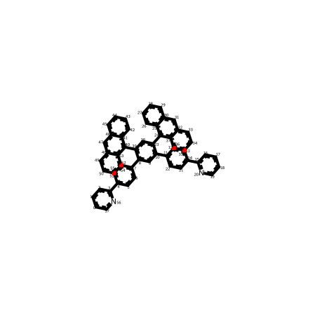 c1ccc(-c2ccc(-c3cc(-c4ccc(-c5ccccn5)cc4)c(-c4c5ccccc5cc5ccccc45)cc3-c3c4ccccc4cc4ccccc34)cc2)nc1